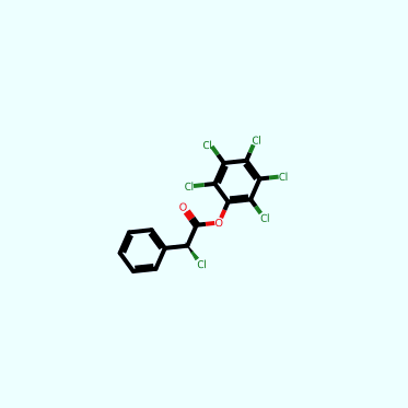 O=C(Oc1c(Cl)c(Cl)c(Cl)c(Cl)c1Cl)[C@@H](Cl)c1ccccc1